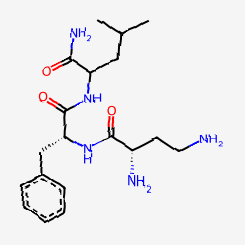 CC(C)CC(NC(=O)[C@@H](Cc1ccccc1)NC(=O)[C@@H](N)CCN)C(N)=O